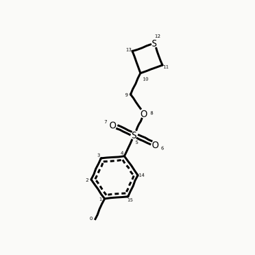 Cc1ccc(S(=O)(=O)OCC2CSC2)cc1